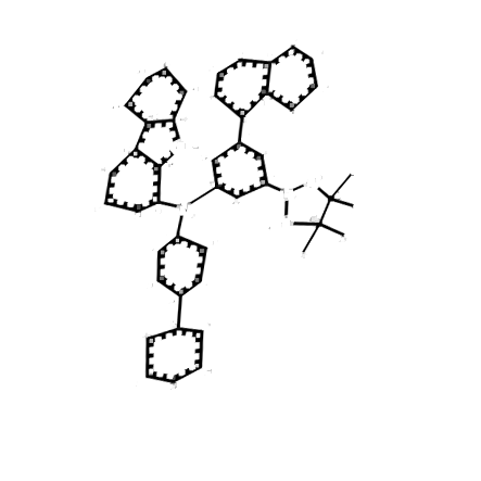 CC1(C)OB(c2cc(-c3cccc4ccccc34)cc(N(c3ccc(-c4ccccc4)cc3)c3cccc4c3oc3ccccc34)c2)OC1(C)C